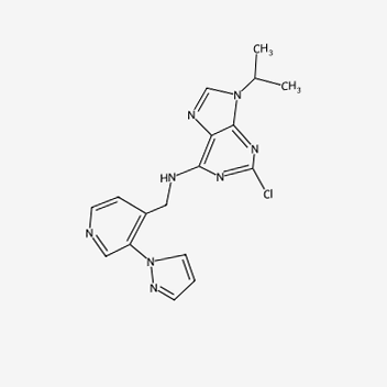 CC(C)n1cnc2c(NCc3ccncc3-n3cccn3)nc(Cl)nc21